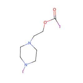 O=C(I)OCCN1CCN(I)CC1